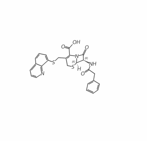 O=C(Cc1ccccc1)N[C@@H]1C(=O)N2C(C(=O)O)=C(CSc3cccc4cccnc34)CS[C@H]12